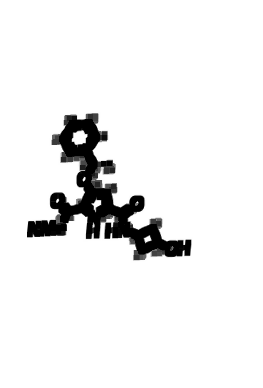 CNC(=O)c1[nH]c(C(=O)NC2CC(O)C2)cc1O[C@@H](C)c1ccccc1